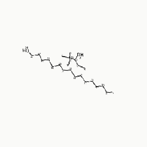 CCC(O)[N+](C)(C)C.CCCCCCCCCCCCCCCCO